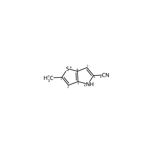 Cc1cc2[nH]c(C#N)cc2s1